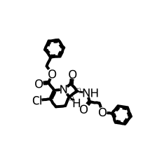 O=C(COc1ccccc1)N[C@@H]1C(=O)N2C(C(=O)OCc3ccccc3)=C(Cl)CC[C@@H]12